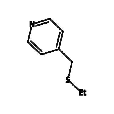 [CH2]CSCc1ccncc1